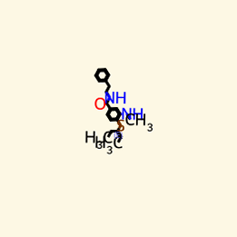 C/C=C(\CC)Sc1ccc(C(=O)NCCc2ccccc2)cc1NC